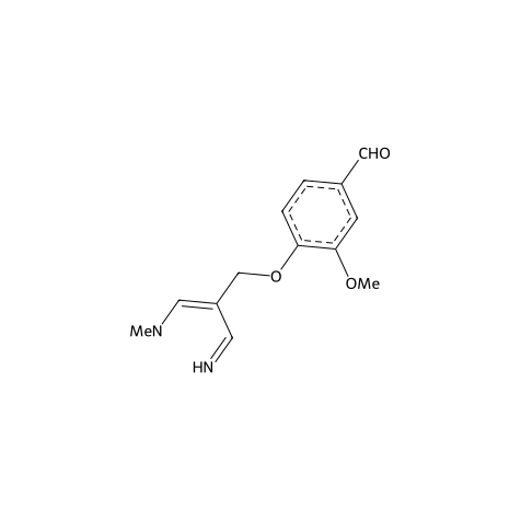 CN/C=C(\C=N)COc1ccc(C=O)cc1OC